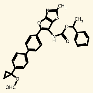 Cc1nc2oc(-c3ccc(-c4ccc(C5(OC=O)CC5)cc4)cc3)c(NC(=O)OC(C)c3ccccc3)c2s1